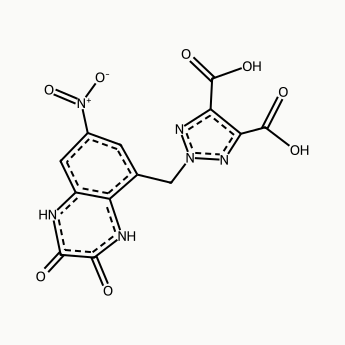 O=C(O)c1nn(Cc2cc([N+](=O)[O-])cc3[nH]c(=O)c(=O)[nH]c23)nc1C(=O)O